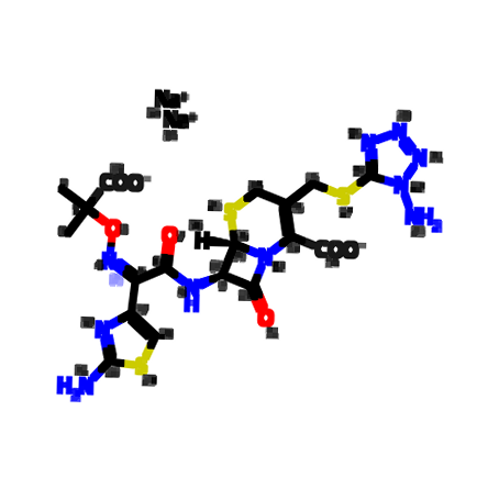 CC(C)(O/N=C(\C(=O)N[C@@H]1C(=O)N2C(C(=O)[O-])=C(CSc3nnnn3N)CS[C@@H]12)c1csc(N)n1)C(=O)[O-].[Na+].[Na+]